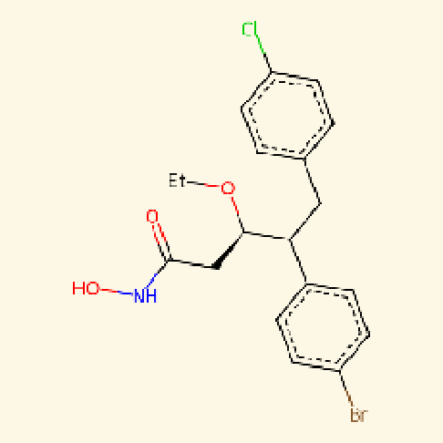 CCO[C@H](CC(=O)NO)C(Cc1ccc(Cl)cc1)c1ccc(Br)cc1